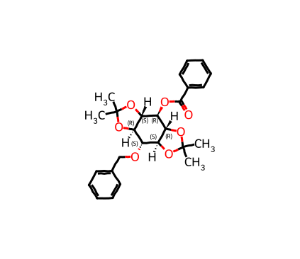 CC1(C)O[C@@H]2[C@@H](OCc3ccccc3)[C@@H]3OC(C)(C)O[C@H]3[C@H](OC(=O)c3ccccc3)[C@H]2O1